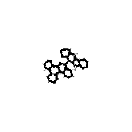 c1ccc2c(-c3cc4c5ccccc5c5ccccc5c4c4ccccc34)c3sc4ccccc4c3nc2c1